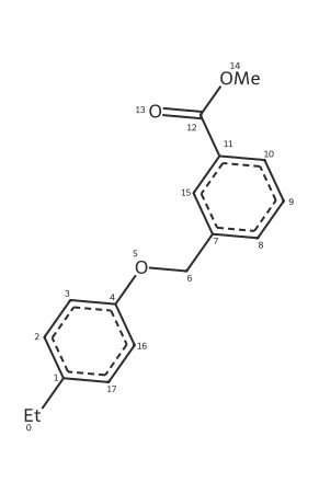 CCc1ccc(OCc2cccc(C(=O)OC)c2)cc1